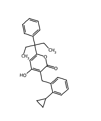 CCC(CC)(c1ccccc1)c1cc(O)c(Cc2ccccc2C2CC2)c(=O)o1